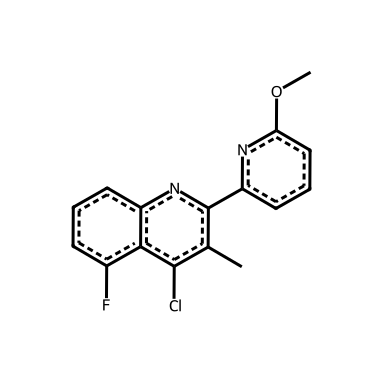 COc1cccc(-c2nc3cccc(F)c3c(Cl)c2C)n1